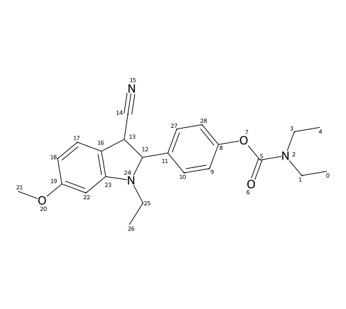 CCN(CC)C(=O)Oc1ccc(C2C(C#N)c3ccc(OC)cc3N2CC)cc1